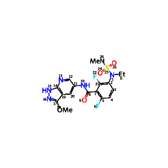 CCN(c1ccc(F)c(C(=O)Nc2cnc3[nH]nc(OC)c3c2)c1F)S(=O)(=O)NC